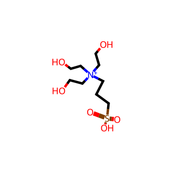 O=S(=O)(O)CCC[N+](CCO)(CCO)CCO